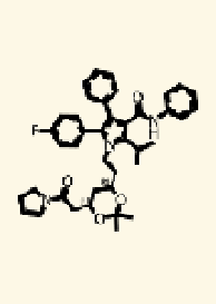 CC(C)c1c(C(=O)Nc2ccccc2)c(-c2ccccc2)c(-c2ccc(F)cc2)n1CC[C@@H]1C[C@H](CC(=O)N2C=CCC2)OC(C)(C)O1